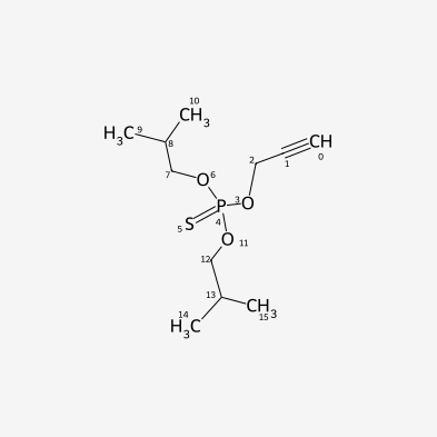 C#CCOP(=S)(OCC(C)C)OCC(C)C